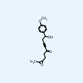 COc1ccc(C(O)CC#CC(=O)CCC2OC2C)cc1